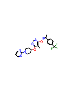 CC(=NOc1ncnc(OC2CCN(c3ncccn3)CC2)c1C)c1ccc(C(F)(F)F)cc1